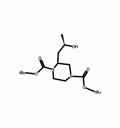 C[C@@H](O)CC1CN(C(=O)OC(C)(C)C)CCN1C(=O)OC(C)(C)C